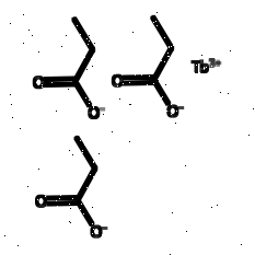 CCC(=O)[O-].CCC(=O)[O-].CCC(=O)[O-].[Tb+3]